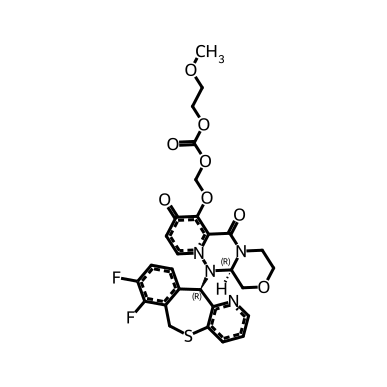 COCCOC(=O)OCOc1c2n(ccc1=O)N([C@@H]1c3ccc(F)c(F)c3CSc3cccnc31)[C@@H]1COCCN1C2=O